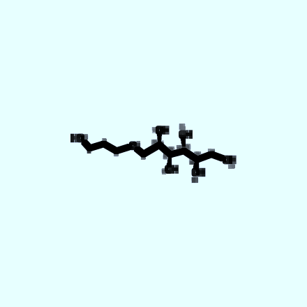 OCCCOC[C@H](O)[C@@H](O)[C@H](O)[C@H](O)CO